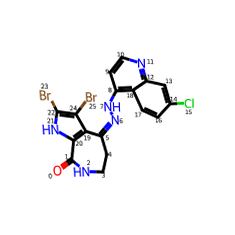 O=C1NCC/C(=N/Nc2ccnc3cc(Cl)ccc23)c2c1[nH]c(Br)c2Br